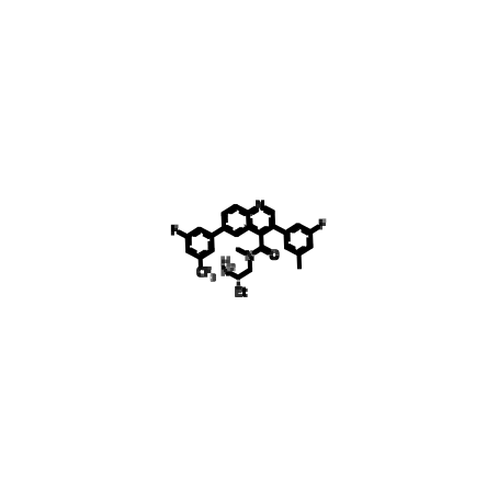 CC[C@H](N)CN(C)C(=O)c1c(-c2cc(C)cc(F)c2)cnc2ccc(-c3cc(F)cc(C(F)(F)F)c3)cc12